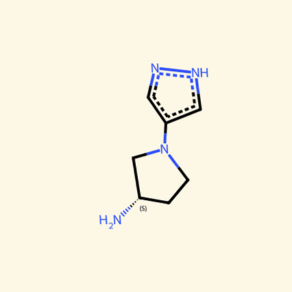 N[C@H]1CCN(c2cn[nH]c2)C1